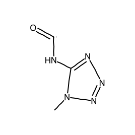 Cn1nnnc1N[C]=O